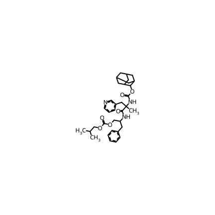 CC(C)COC(=O)OCC(Cc1ccccc1)NC(=O)C(C)(Cc1cccnc1)NC(=O)OC1C2CC3CC(C2)CC1C3